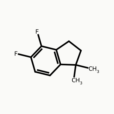 CC1(C)CCc2c1ccc(F)c2F